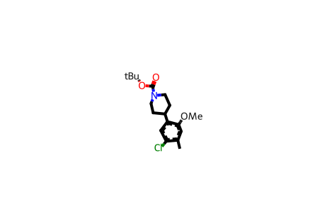 COc1cc(C)c(Cl)cc1C1CCN(C(=O)OC(C)(C)C)CC1